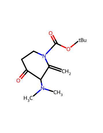 C=C1C(N(C)C)C(=O)CCN1C(=O)OC(C)(C)C